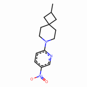 CC1CC2(CCN(c3ccc([N+](=O)[O-])cn3)CC2)C1